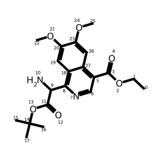 CCOC(=O)c1cnc(C(N)C(=O)OC(C)(C)C)c2cc(OC)c(OC)cc12